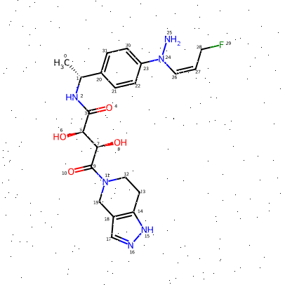 C[C@@H](NC(=O)[C@H](O)[C@@H](O)C(=O)N1CCc2[nH]ncc2C1)c1ccc(N(N)/C=C\CF)cc1